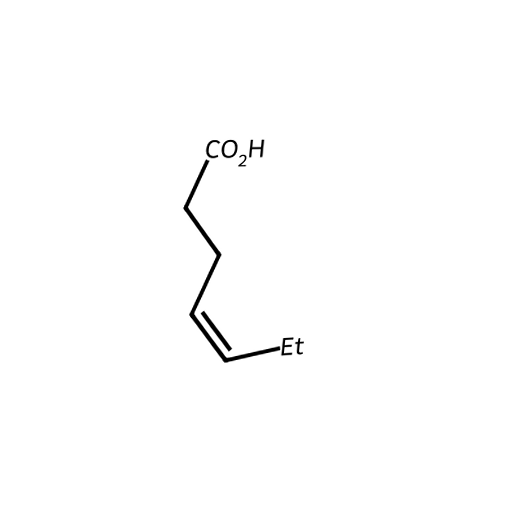 CC/C=C\CCC(=O)O